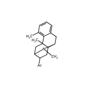 CC(=O)C1CC2C3Cc4cccc(C)c4C2(C)CC1N3C